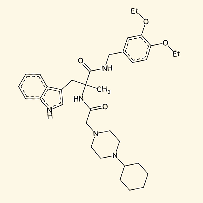 CCOc1ccc(CNC(=O)C(C)(Cc2c[nH]c3ccccc23)NC(=O)CN2CCN(C3CCCCC3)CC2)cc1OCC